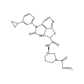 C=CC(=O)N1CCC[C@@H](NC(=O)C2Sc3nccc4c3C2NC(=O)N4c2cccc(C3CC3)c2)C1